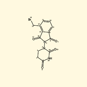 O=C1CCN(N2C(=O)c3cccc(CBr)c3C2=O)C(=O)N1